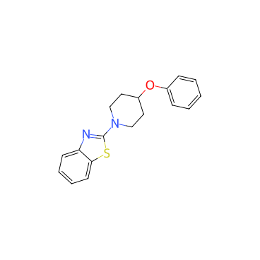 c1ccc(OC2CCN(c3nc4ccccc4s3)CC2)cc1